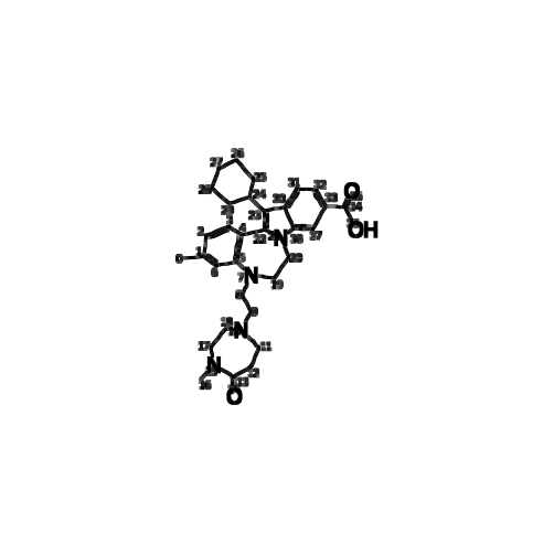 Cc1ccc2c(c1)N(CCN1CCC(=O)N(C)CC1)CCn1c-2c(C2CCCCC2)c2ccc(C(=O)O)cc21